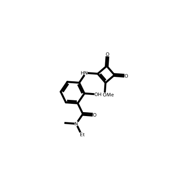 CCN(C)C(=O)c1cccc(Nc2c(OC)c(=O)c2=O)c1O